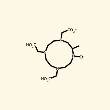 CCN1CCN(CC(=O)O)CCN(CC(=O)O)CCN(CC(=O)O)CC1C